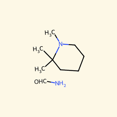 CN1CCCCC1(C)C.NC=O